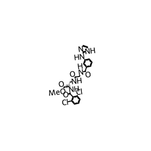 COC(=O)[C@H](CNC(=O)CNC(=O)c1cccc(Nc2ncc[nH]2)c1)NC(=O)c1c(Cl)cccc1Cl